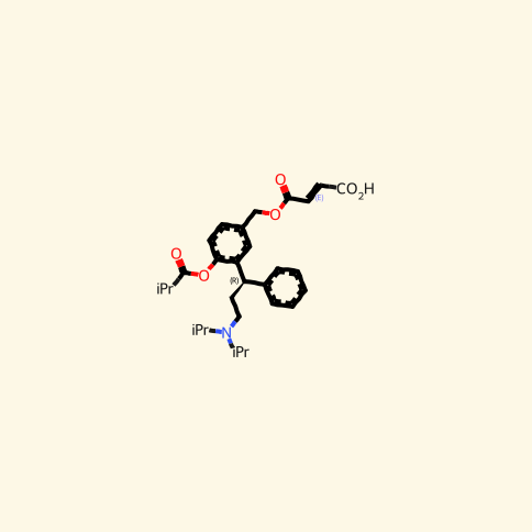 CC(C)C(=O)Oc1ccc(COC(=O)/C=C/C(=O)O)cc1[C@H](CCN(C(C)C)C(C)C)c1ccccc1